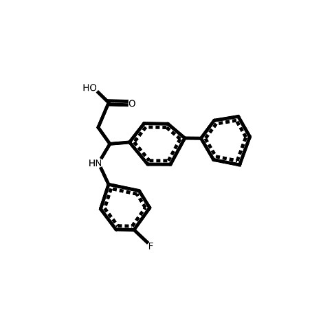 O=C(O)CC(Nc1ccc(F)cc1)c1ccc(-c2ccccc2)cc1